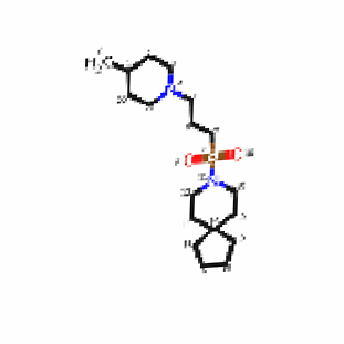 [CH2]C1CCN(CCCS(=O)(=O)N2CCC3(CCCC3)CC2)CC1